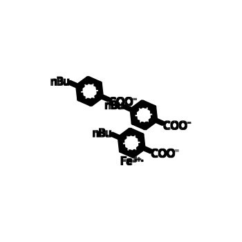 CCCCc1ccc(C(=O)[O-])cc1.CCCCc1ccc(C(=O)[O-])cc1.CCCCc1ccc(C(=O)[O-])cc1.[Fe+3]